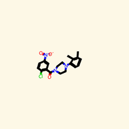 Cc1cccc(N2CCN(C(=O)c3cc([N+](=O)[O-])ccc3Cl)CC2)c1C